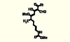 CCC(=O)/C(C=O)=C(O)/C=C(\OC)C(C)CC/C=C/NC(=O)OC